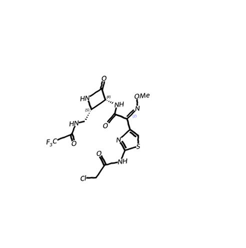 CO/N=C(\C(=O)N[C@H]1C(=O)N[C@H]1CNC(=O)C(F)(F)F)c1csc(NC(=O)CCl)n1